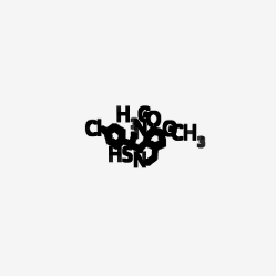 COc1cc2c(cc1OC)C(C(S)(C#N)c1ccc(Cl)cc1)=NCC2